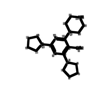 CC(=O)Oc1c(N2CCCC2)nc(N2CCCC2)nc1N1CCNCC1